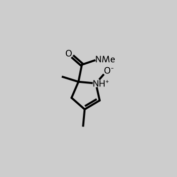 CNC(=O)C1(C)CC(C)=C[NH+]1[O-]